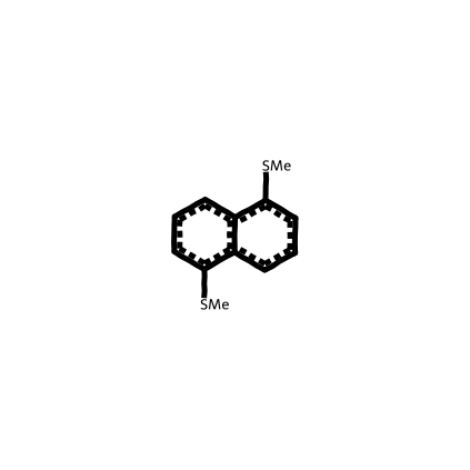 CSc1cccc2c(SC)cccc12